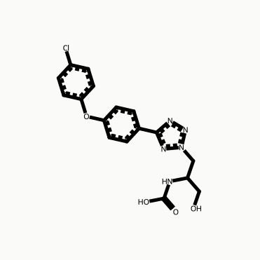 O=C(O)NC(CO)Cn1nnc(-c2ccc(Oc3ccc(Cl)cc3)cc2)n1